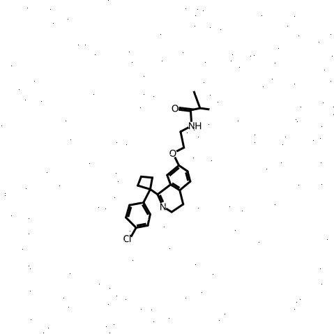 CC(C)C(=O)NCCOc1ccc2c(c1)C(C1(c3ccc(Cl)cc3)CCC1)=NCC2